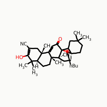 CCCCC1O[C@]23C(=O)C=C4[C@@]5(C)CC(C#N)=C(O)C(C)(C)[C@@H]5CC[C@@]4(C)[C@]2(C)CC[C@]12CCC(C)(C)CC23